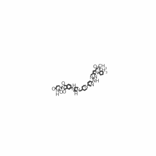 CN(C)C(=O)c1cc2cnc(Nc3ccc(N4CCC(CN5C[C@@H]6C[C@H]5CN6c5ccc6c(c5)C(=O)N(N5CCC(=O)NC5=O)C6=O)CC4)cn3)nc2n1C1CCCC1